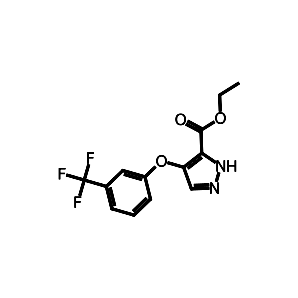 CCOC(=O)c1[nH]ncc1Oc1cccc(C(F)(F)F)c1